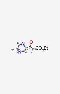 CCOC(=O)C(C)C(=O)c1cnc(C)cn1